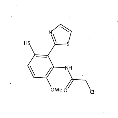 COc1ccc(S)c(-c2nccs2)c1NC(=O)CCl